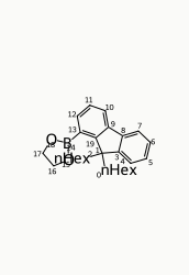 CCCCCCC1(CCCCCC)c2ccccc2-c2cccc(B3OCCO3)c21